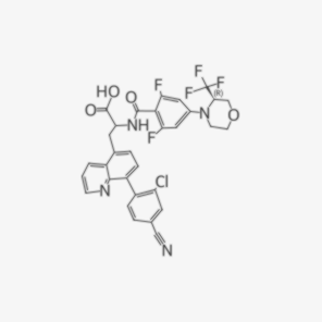 N#Cc1ccc(-c2ccc(CC(NC(=O)c3c(F)cc(N4CCOC[C@@H]4C(F)(F)F)cc3F)C(=O)O)c3cccnc23)c(Cl)c1